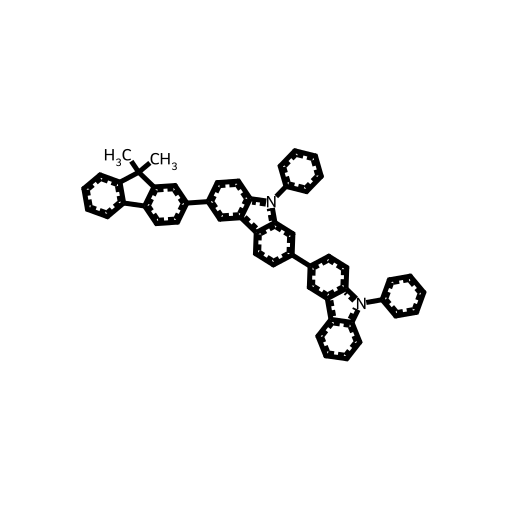 CC1(C)c2ccccc2-c2ccc(-c3ccc4c(c3)c3ccc(-c5ccc6c(c5)c5ccccc5n6-c5ccccc5)cc3n4-c3ccccc3)cc21